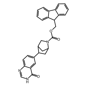 O=C(OCC1c2ccccc2-c2ccccc21)N1CC2CC1CC2c1ccc2nc[nH]c(=O)c2c1